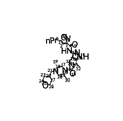 CCCc1cc(C(=O)Nc2n[nH]c3c2CN(C(=O)N2C[C@@H](C)N(CC4CCOCC4)C[C@@H]2C)C3C)no1